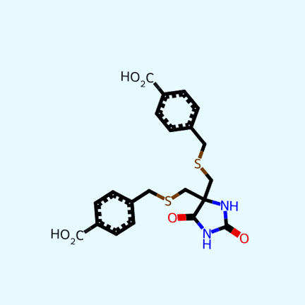 O=C1NC(=O)C(CSCc2ccc(C(=O)O)cc2)(CSCc2ccc(C(=O)O)cc2)N1